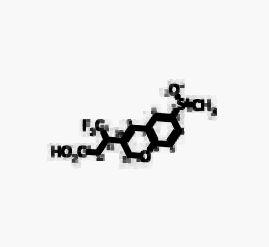 C[S+]([O-])c1ccc2c(c1)C=C(C(CC(=O)O)C(F)(F)F)CO2